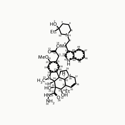 CCC1(O)CCCN(CCc2c([C@@H](C(=O)OC)c3cc4c(cc3OC)N(C)[C@H]3[C@@](O)(C(=O)NN)[C@H](O)[C@]5(CC)C=CCN6CC[C@]43[C@@H]65)[nH]c3ccccc23)C1